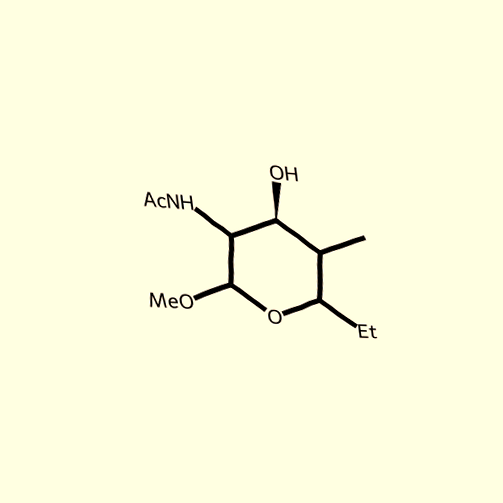 CCC1OC(OC)C(NC(C)=O)[C@@H](O)C1C